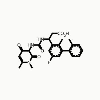 CC1=CC(=O)C(NC(=O)NC(CC(=O)O)c2cc(F)cc(-c3ccccc3C)c2C)C(=O)N1C